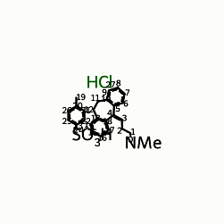 CNCCC=C1c2ccccc2CCc2ccccc21.Cc1ccc(S(=O)(=O)O)cc1.Cl